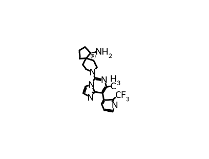 Cc1nc(N2CCC3(CCC[C@H]3N)CC2)n2ccnc2c1-c1cccnc1C(F)(F)F